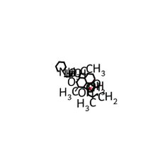 C=C[C@@H](C)CC(=O)[C@]1(O)[C@@H](C)[C@H](OC(=O)CN2CCCCC2)[C@H](O)[C@H]2C(C)(C)CC3O[C@]3(O)[C@@]21C